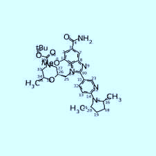 COc1cc(C(N)=O)cc2nc(-c3ccc(N4[C@@H](C)CC[C@@H]4C)nc3)n(C[C@@H]3CN(C(=O)OC(C)(C)C)C[C@H](C)O3)c12